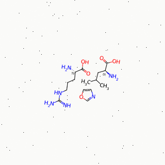 CC(C)C[C@H](N)C(=O)O.N=C(N)NCCC[C@H](N)C(=O)O.c1cocn1